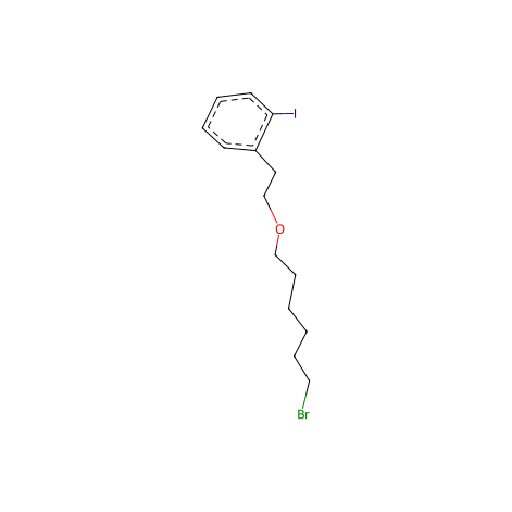 BrCCCCCCOCCc1ccccc1I